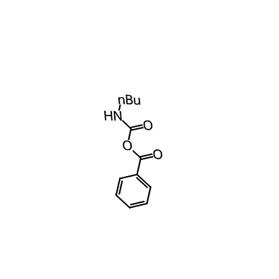 CCCCNC(=O)OC(=O)c1ccccc1